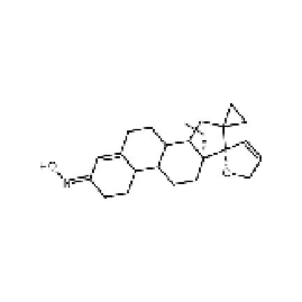 CC[C@]12CCC3C4CCC(=NO)C=C4CCC3C1CC1(CC1)[C@@]21C=CCO1